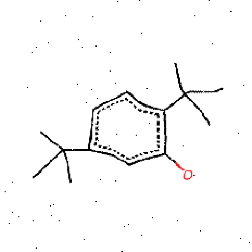 CC(C)(C)c1ccc(C(C)(C)C)c([O])c1